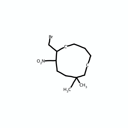 CC1(C)CCCCCCC(CBr)C([N+](=O)[O-])CC1